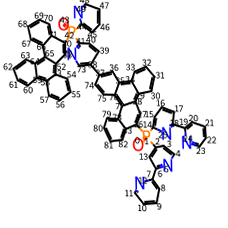 O=P(c1ccnc(-c2ccccn2)c1)(c1cccc(-c2ccccn2)n1)c1cc2c3ccccc3c3cc(-c4ccc(P(=O)(c5ccccn5)c5cc6c7ccccc7c7ccccc7c6c6ccccc56)nc4)ccc3c2c2ccccc12